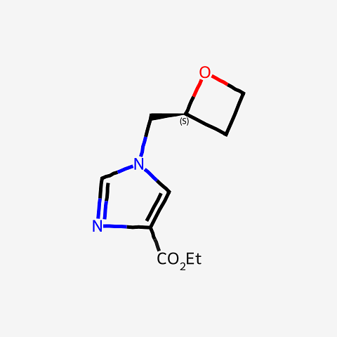 CCOC(=O)c1cn(C[C@@H]2CCO2)cn1